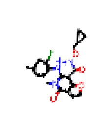 Cc1ccc(Nc2c(C(=O)NOCC3CC3)c3occc3c(=O)n2C)c(F)c1